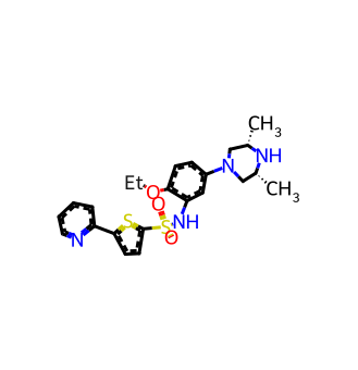 CCOc1ccc(N2C[C@@H](C)N[C@@H](C)C2)cc1NS(=O)(=O)c1ccc(-c2ccccn2)s1